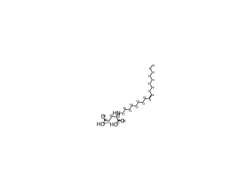 CCCCCCCC/C=C\CCCCCCCCNC(CCC(=O)O)C(=O)O